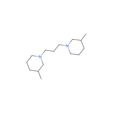 CC1CCCN(CCCN2CCCC(C)C2)C1